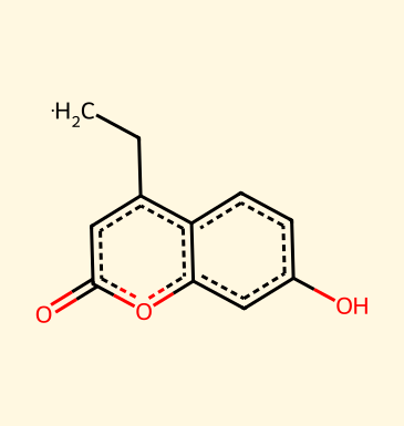 [CH2]Cc1cc(=O)oc2cc(O)ccc12